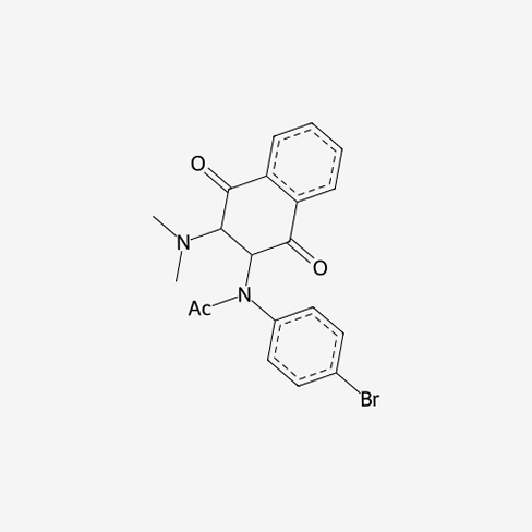 CC(=O)N(c1ccc(Br)cc1)C1C(=O)c2ccccc2C(=O)C1N(C)C